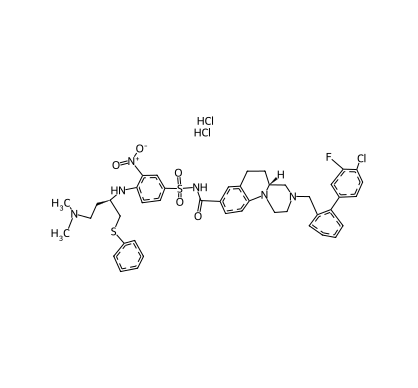 CN(C)CC[C@H](CSc1ccccc1)Nc1ccc(S(=O)(=O)NC(=O)c2ccc3c(c2)CC[C@@H]2CN(Cc4ccccc4-c4ccc(Cl)c(F)c4)CCN32)cc1[N+](=O)[O-].Cl.Cl